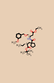 CCC[C@H](CC1(C(=O)N[C@H](COCc2cccc(OC)c2)CC(=O)OCC)CCCC1)C(=O)OC(C)(C)C